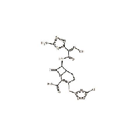 Nc1nc(/C(=N/O)C(=O)NC2C(=O)N3C(C(=O)O)=C(Sc4nc(Cl)cs4)CCC23)ns1